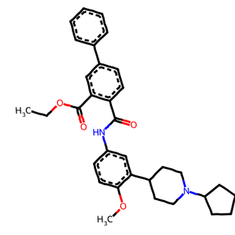 CCOC(=O)c1cc(-c2ccccc2)ccc1C(=O)Nc1ccc(OC)c(C2CCN(C3CCCC3)CC2)c1